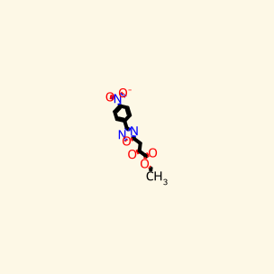 CCOC(=O)C(=O)Cc1nc(-c2ccc([N+](=O)[O-])cc2)no1